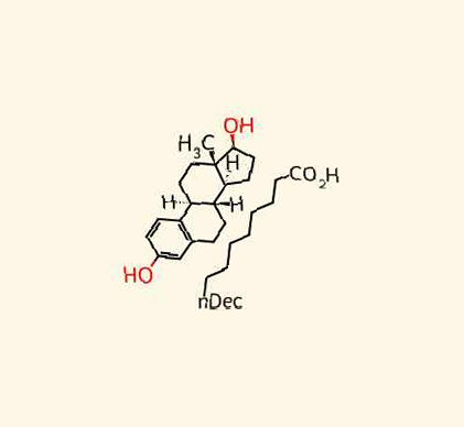 CCCCCCCCCCCCCCCCCC(=O)O.C[C@]12CC[C@@H]3c4ccc(O)cc4CC[C@H]3[C@@H]1CC[C@@H]2O